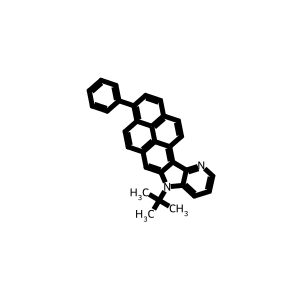 CC(C)(C)n1c2cccnc2c2c3ccc4ccc(-c5ccccc5)c5ccc(cc21)c3c45